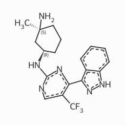 C[C@]1(N)CCC[C@@H](Nc2ncc(C(F)(F)F)c(-c3n[nH]c4ccccc34)n2)C1